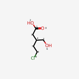 O=C(O)CC(CO)CCCl